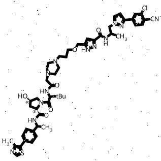 Cc1ncsc1-c1ccc(C(C)NC(=O)[C@@H]2C[C@@H](O)CN2C(=O)C(NC(=O)CN2CCN(CCCOCc3cc(C(=O)NC(C)Cn4ccc(-c5ccc(C#N)c(Cl)c5)n4)n[nH]3)CC2)C(C)(C)C)cc1